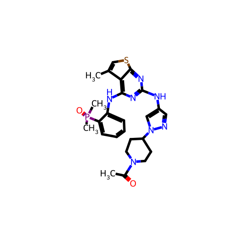 CC(=O)N1CCC(n2cc(Nc3nc(Nc4ccccc4P(C)(C)=O)c4c(C)csc4n3)cn2)CC1